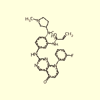 C=CC(=O)Nc1cc(Nc2ncc3c(=O)ccn(-c4cccc(F)c4)c3n2)ccc1N(C)C1CCN(C)C1